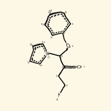 O=C(CCF)C(Oc1ccccc1)n1cccc1